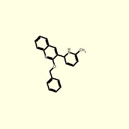 CC1=CC=CC(c2cc3ccccc3nc2OCc2ccccc2)N1